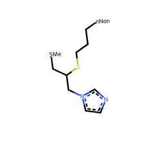 CCCCCCCCCCCCSC(CSC)Cn1ccnc1